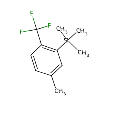 Cc1ccc(C(F)(F)F)c([Si](C)(C)C)c1